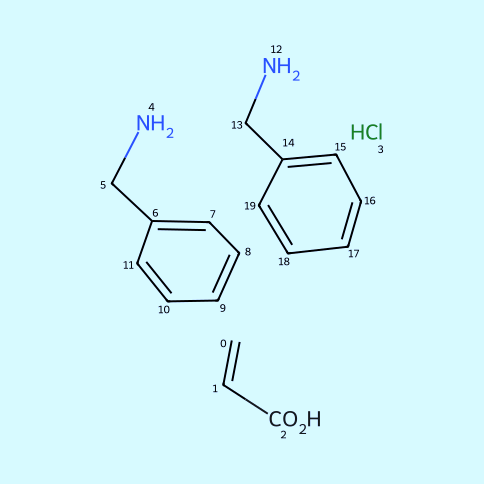 C=CC(=O)O.Cl.NCc1ccccc1.NCc1ccccc1